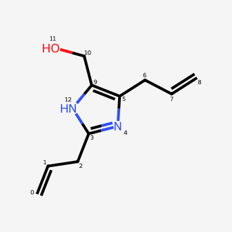 C=CCc1nc(CC=C)c(CO)[nH]1